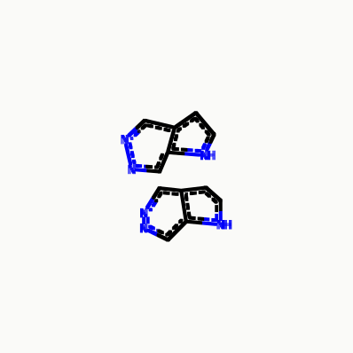 c1cc2cnncc2[nH]1.c1cc2cnncc2[nH]1